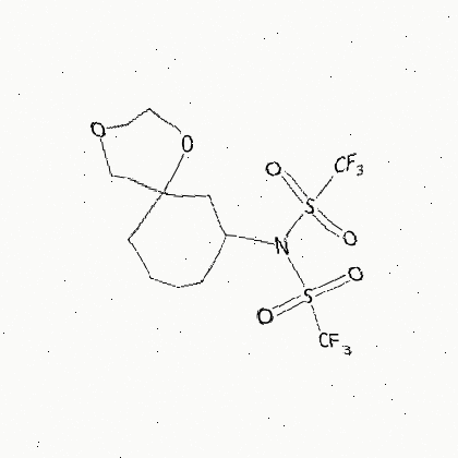 O=S(=O)(N(C1CCCC2(COCO2)C1)S(=O)(=O)C(F)(F)F)C(F)(F)F